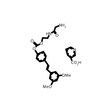 COc1cc(C=Cc2ccc(OC(=O)OCCNC(=O)CN)cc2)cc(OC)c1.O=C(O)c1cccnc1